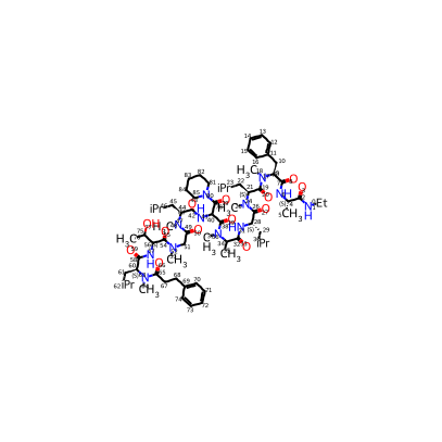 CCNC(=O)[C@H](C)NC(=O)[C@H](Cc1ccccc1)N(C)C(=O)[C@H](CC(C)C)N(C)C(=O)[C@H](CC(C)C)NC(=O)C(C)N(C)C(=O)C(NC(=O)[C@H](CC(C)C)N(C)C(=O)CN(C)C(=O)[C@@H](NC(=O)[C@H](CC(C)C)N(C)C(=O)CCc1ccccc1)C(C)O)C(=O)N1CCCCC1